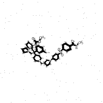 CNC(=O)c1ccc(S(=O)(=O)c2ccc(N3CC[C@@H](CN4CCC([C@@](CN5CCC5)(c5cccc(F)c5)[C@H]5CCC[C@@H]5NC(=O)OC)CC4)C3)cc2)cc1